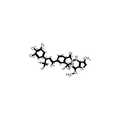 COC(=O)c1scc(C)c1NNC(=O)c1ccc(C(F)=CC(c2cc(Cl)c(Cl)c(Cl)c2)C(F)(F)F)cc1C(F)(F)F